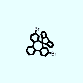 Brc1ccc2c(c1)C1(c3cc(Br)ccc3-c3ccccc3-2)c2ccccc2-c2ccccc21